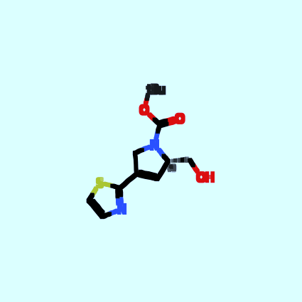 CC(C)(C)OC(=O)N1CC(c2nccs2)=C[C@H]1CO